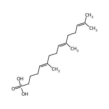 CC(C)=CCC/C(C)=C/CC/C(C)=C/CCCP(=O)(O)O